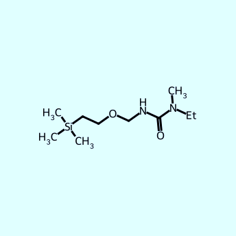 CCN(C)C(=O)NCOCC[Si](C)(C)C